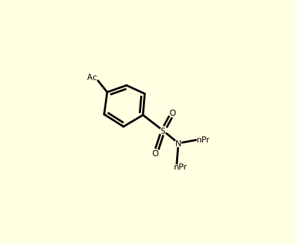 CCCN(CCC)S(=O)(=O)c1ccc(C(C)=O)cc1